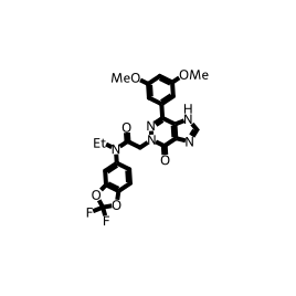 CCN(C(=O)Cn1nc(-c2cc(OC)cc(OC)c2)c2[nH]cnc2c1=O)c1ccc2c(c1)OC(F)(F)O2